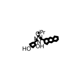 CC(C)Oc1nc(-c2ccc3cc4ccccc4cc3c2)nc(-c2ccc(O)cc2O)n1